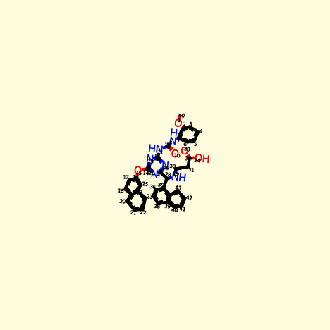 COc1ccccc1NC(=O)Nc1nc(Oc2ccc3ccccc3c2)nc(C(NCCC(=O)O)c2cccc3ccccc23)n1